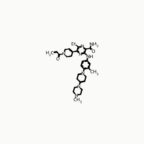 C=CC(=O)N1CC=C(c2nc(Nc3ccc(N4CCC(N5CCN(C)CC5)CC4)c(C)c3)c(C(N)=O)nc2CC)CC1